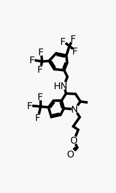 CC1CC(NCc2cc(C(F)(F)F)cc(C(F)(F)F)c2)c2cc(C(F)(F)F)ccc2N1CCCOC=O